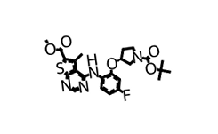 COC(=O)c1sc2ncnc(Nc3ccc(F)cc3O[C@H]3CCN(C(=O)OC(C)(C)C)C3)c2c1C